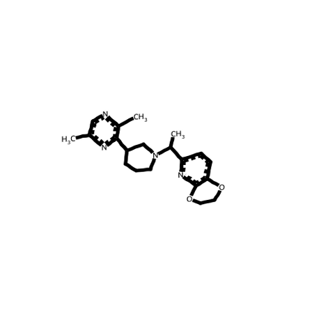 Cc1cnc(C)c(C2CCCN(C(C)c3ccc4c(n3)OCCO4)C2)n1